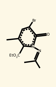 CCOC(=O)c1c(C)cc(Br)c(=O)n1N=C(C)C